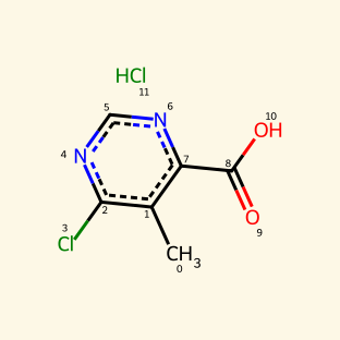 Cc1c(Cl)ncnc1C(=O)O.Cl